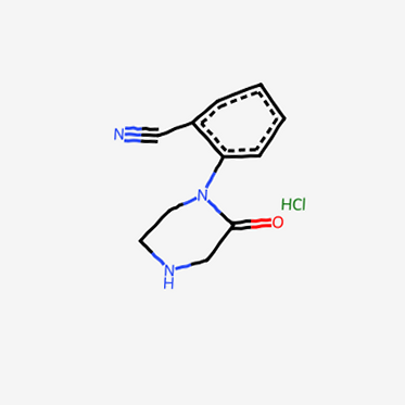 Cl.N#Cc1ccccc1N1CCNCC1=O